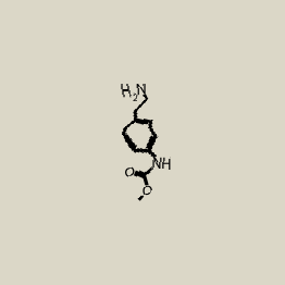 COC(=O)Nc1ccc(CCN)cc1